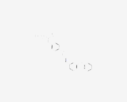 CCOC(=O)[C@H](Cc1ccc(OC/C=C/c2cccc(Oc3ccccc3)c2)cc1)OCC